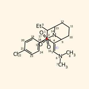 CCC1C(=O)/C(=C/N(C)C)C2CCCC1N2S(=O)(=O)c1ccc(Cl)cc1